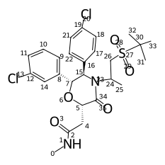 CNC(=O)C[C@@H]1O[C@H](c2cccc(Cl)c2)[C@@H](c2ccc(Cl)cc2)N(C(C)CS(=O)(=O)C(C)(C)C)C1=O